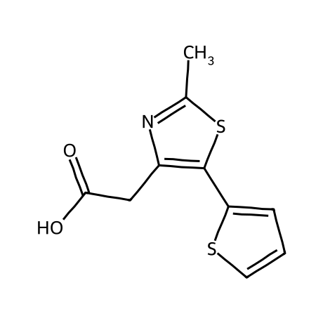 Cc1nc(CC(=O)O)c(-c2cccs2)s1